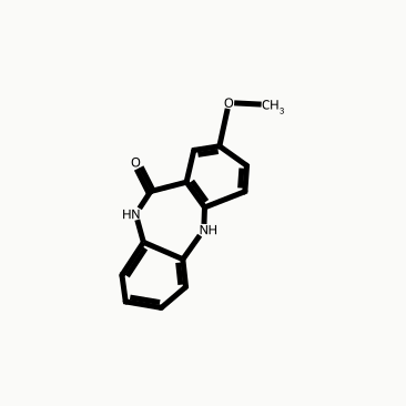 COc1ccc2c(c1)C(=O)Nc1ccccc1N2